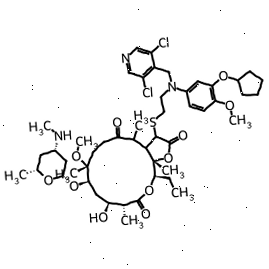 CC[C@H]1OC(=O)[C@H](C)[C@@H](O)C[C@@H](O[C@H]2C[C@@H](NC)C[C@@H](C)O2)[C@](C)(OC)CCC(=O)C(C)C2C(SCCN(Cc3c(Cl)cncc3Cl)c3ccc(OC)c(OC4CCCC4)c3)C(=O)O[C@@]21C